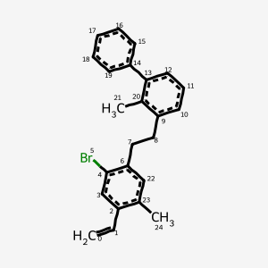 C=Cc1cc(Br)c(CCc2cccc(-c3ccccc3)c2C)cc1C